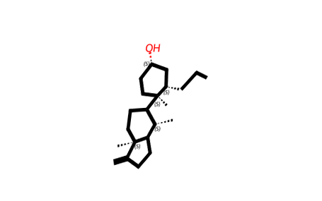 C=C1CCC2[C@@H](C)C([C@@]3(C)CC[C@H](O)C[C@@H]3CCC)CC[C@]12C